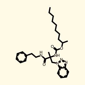 CCCCCCCCC(C)OC(=O)NC(C)(Cn1nnc2ccccc21)C(=O)NCCc1ccccc1